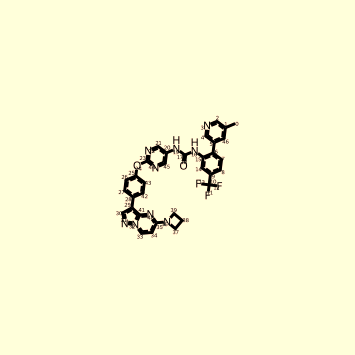 Cc1cncc(-c2ccc(C(F)(F)F)cc2NC(=O)Nc2cnc(Oc3ccc(-c4cnn5ccc(N6CCC6)nc45)cc3)nc2)c1